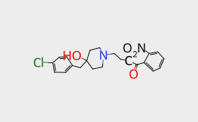 O=C(CCCN1CCC(O)(Cc2ccc(Cl)cc2)CC1)c1ccccc1[N+](=O)[O-]